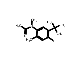 CC(=O)N(C)c1cc(C(C)(C)C)c(F)cc1C